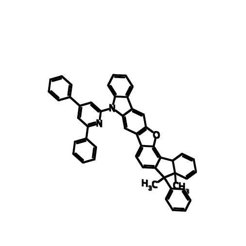 CC1(c2ccccc2)c2ccc3c(oc4cc5c6ccccc6n(-c6cc(-c7ccccc7)cc(-c7ccccc7)n6)c5cc43)c2C2C=CC=CC21C